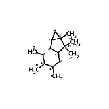 CC(CO)C(C)CC1CC2CC2(C)C1(C)C